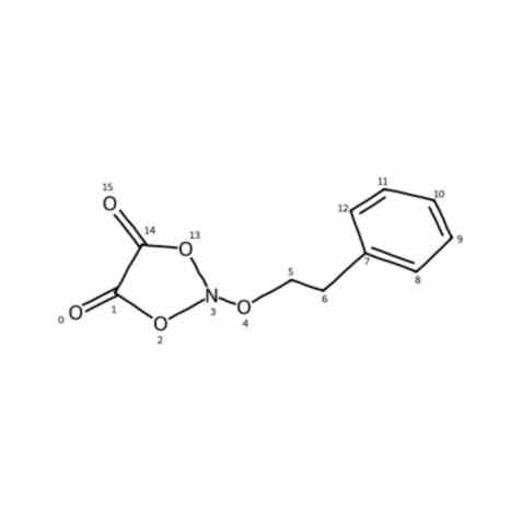 O=c1on(OCCc2ccccc2)oc1=O